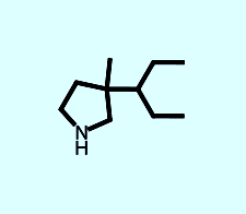 CCC(CC)C1(C)CCNC1